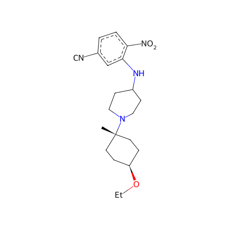 [C-]#[N+]c1ccc([N+](=O)[O-])c(NC2CCN([C@]3(C)CC[C@@H](OCC)CC3)CC2)c1